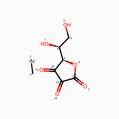 CC(C)=O.O=C1O[C@H]([C@@H](O)CO)C(=O)C1=O